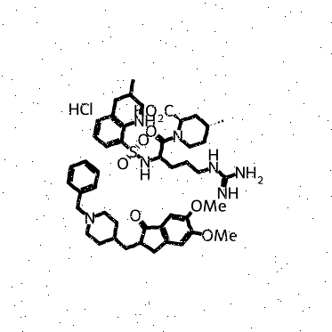 CC1CNc2c(cccc2S(=O)(=O)NC(CCCNC(=N)N)C(=O)N2CC[C@@H](C)C[C@@H]2C(=O)O)C1.COc1cc2c(cc1OC)C(=O)C(CC1CCN(Cc3ccccc3)CC1)C2.Cl